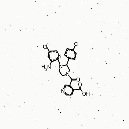 Nc1cc(Cl)cnc1N1CCN(C(=O)c2cnccc2C(=O)O)CC1c1ccc(Cl)cc1